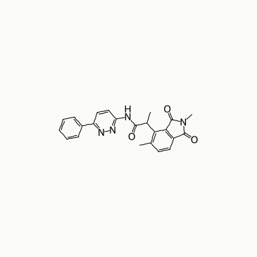 Cc1ccc2c(c1C(C)C(=O)Nc1ccc(-c3ccccc3)nn1)C(=O)N(C)C2=O